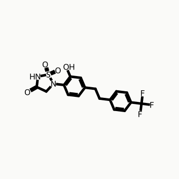 O=C1CN(c2ccc(CCc3ccc(C(F)(F)F)cc3)cc2O)S(=O)(=O)N1